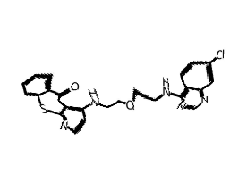 O=c1c2ccccc2sc2nccc(NCCOCCNc3ncnc4cc(Cl)ccc34)c12